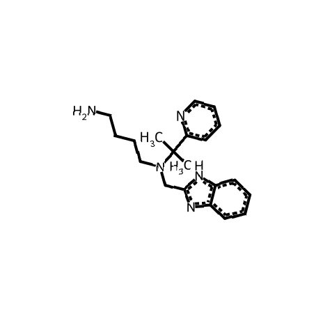 CC(C)(c1ccccn1)N(CCCCN)Cc1nc2ccccc2[nH]1